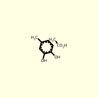 CC(=O)O.Cc1ccc(O)c(O)c1